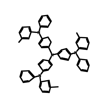 Cc1cccc(N(C2=CC=C(N(c3ccc(N(c4ccccc4)c4cccc(C)c4)cc3)c3ccc(N(c4ccccc4)c4cccc(C)c4)cc3)CC2)c2ccccc2)c1